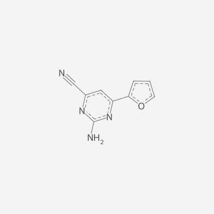 N#Cc1cc(-c2ccco2)nc(N)n1